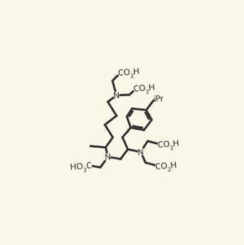 CC(C)c1ccc(CC(CN(CC(=O)O)C(C)CCCCN(CC(=O)O)CC(=O)O)N(CC(=O)O)CC(=O)O)cc1